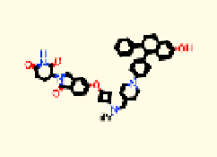 CC(C)N(CC1CCN(c2ccc(C3c4ccc(O)cc4CCC3c3ccccc3)cc2)CC1)[C@H]1C[C@H](Oc2ccc3c(c2)CN(C2CCC(=O)NC2=O)C3=O)C1